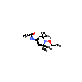 CCON1C(C)(C)CC(NC(C)=O)CC1(C)C